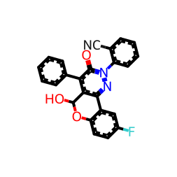 N#Cc1ccccc1-n1nc2c(c(-c3ccccc3)c1=O)C(O)Oc1ccc(F)cc1-2